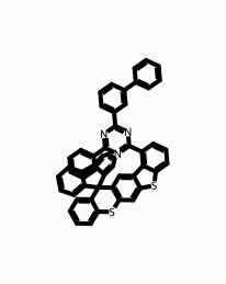 c1ccc(-c2cccc(-c3nc(-c4ccccc4)nc(-c4cccc5sc6cc7c(cc6c45)C4(c5ccccc5S7)c5ccccc5-c5ccccc54)n3)c2)cc1